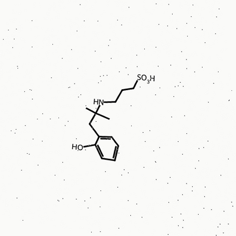 CC(C)(Cc1ccccc1O)NCCCS(=O)(=O)O